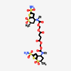 CCN(C(=O)OCOC(=O)CCC(=O)OCOC(=O)N(CC)[C@H]1C[C@H](C)S(=O)(=O)c2sc(S(N)(=O)=O)cc21)C1C[C@H](C)S(=O)(=O)c2sc(S(N)(=O)=O)cc21